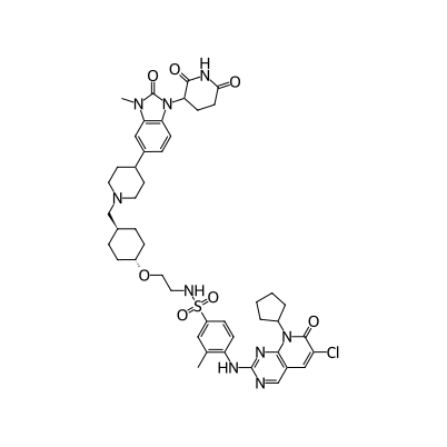 Cc1cc(S(=O)(=O)NCCO[C@H]2CC[C@H](CN3CCC(c4ccc5c(c4)n(C)c(=O)n5C4CCC(=O)NC4=O)CC3)CC2)ccc1Nc1ncc2cc(Cl)c(=O)n(C3CCCC3)c2n1